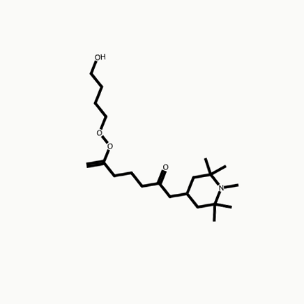 C=C(CCCC(=O)CC1CC(C)(C)N(C)C(C)(C)C1)OOCCCCO